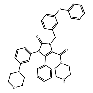 O=C(c1c(-c2ccccc2)n(-c2cccc(N3CCOCC3)c2)c(=O)n1Cc1cccc(Oc2ccccc2)c1)N1CCNCC1